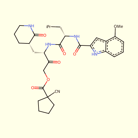 COc1cccc2[nH]c(C(=O)N[C@@H](CC(C)C)C(=O)N[C@@H](C[C@@H]3CCCNC3=O)C(=O)COC(=O)C3(C#N)CCCC3)cc12